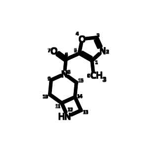 Cc1ncoc1C(=O)N1CCC2NCC2C1